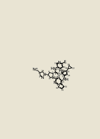 N#CC1C=NN([C@H]2C[C@@H](C(=O)Nc3ccc(F)nc3)N(c3nc(Nc4cc(C5CC5)[nH]n4)c4cccn4n3)C2)C1